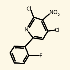 O=[N+]([O-])c1c(Cl)cc(-c2ccccc2F)nc1Cl